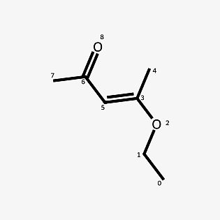 CCOC(C)=CC(C)=O